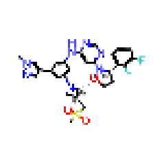 C[C@@H]1[C@@H](CS(C)(=O)=O)CN1c1cc(Nc2cc(N3OCC[C@@H]3c3cccc(F)c3F)ncn2)cc(-c2cnn(C)c2)c1